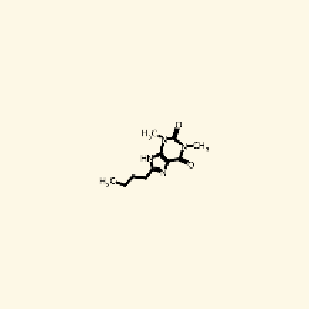 CCCCc1nc2c(=O)n(C)c(=O)n(C)c2[nH]1